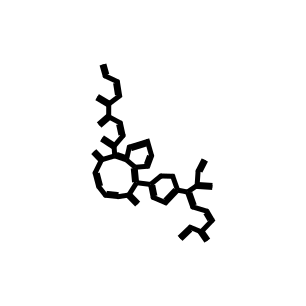 C=C/C=C\C(=C)C(=C)/C=C\C(=C)c1c(=C)ccccc(=C)c(C2=CC=C(/C(=C/C=C\C(=C)C=C)C(=C)C=C)CC2)c2ccccc12